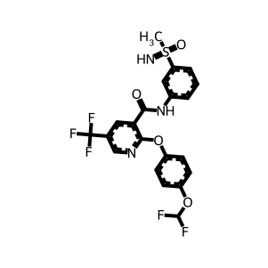 CS(=N)(=O)c1cccc(NC(=O)c2cc(C(F)(F)F)cnc2Oc2ccc(OC(F)F)cc2)c1